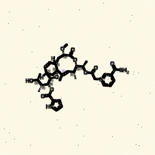 CO[C@H]1C[C@H]2C=C[C@@H]3C[C@]2(O[C@H]3[C@H](OC(=O)c2ccc[nH]2)[C@H](C)[C@H](C)O)/C(C)=C/[C@@H](C)[C@@H]([C@@H](C)OC(=O)C[n+]2cccc(C(N)=O)c2)OC1=O